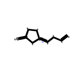 C=CC/C=C1\CCC(=O)C1